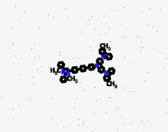 Cc1ccc2c(c1)c1ccccc1n2-c1ccc2c(c1)c1cc(-n3c4ccccc4c4cc(C)ccc43)ccc1n2-c1ccc(-c2ccc(-c3ccc(-c4cc(-c5ccccc5C)nc(-c5ccccc5C)n4)cc3)cc2)cc1